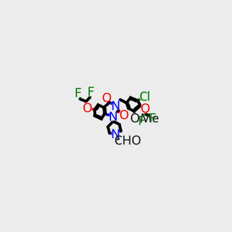 COc1cc(Cn2c(=O)c3cc(OC(CF)CF)ccc3n(C3CCN(C=O)CC3)c2=O)cc(Cl)c1OC(F)F